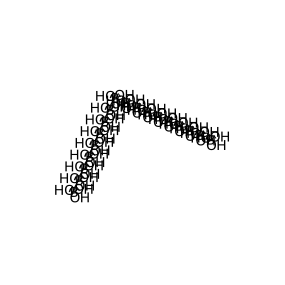 OB(O)O.OB(O)O.OB(O)O.OB(O)O.OB(O)O.OB(O)O.OB(O)O.OB(O)O.OB(O)O.OB(O)O.OB(O)O.OB(O)O.OB(O)O.OB(O)O.OB(O)O.OB(O)O.OB(O)O.OB(O)O